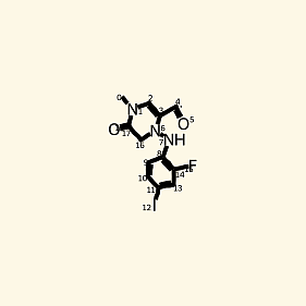 CN1C=C([C]=O)N(Nc2ccc(I)cc2F)CC1=O